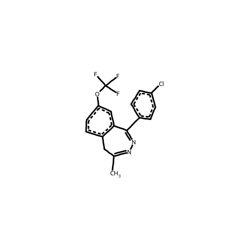 CC1=NN=C(c2ccc(Cl)cc2)c2cc(OC(F)(F)F)ccc2C1